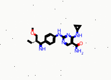 CC[C@H](COC)C(=N)c1ccc(Nc2ncc(C(N)=O)c(NC3CC3)n2)cc1